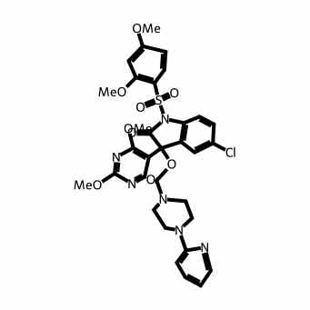 COc1ccc(S(=O)(=O)N2C(=O)C(OC(=O)N3CCN(c4ccccn4)CC3)(c3cnc(OC)nc3OC)c3cc(Cl)ccc32)c(OC)c1